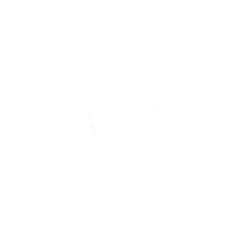 Cc1nn(C)c(C)c1-c1cc(OC2COC2)cc(Br)c1F